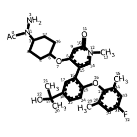 CC(=O)N(N)C1CCC(Oc2cc(=O)n(C)cc2-c2cc(C(C)(C)O)ccc2Oc2c(C)cc(F)cc2C)CC1